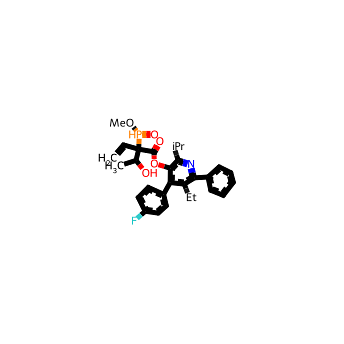 C=CC(C(=O)Oc1c(C(C)C)nc(-c2ccccc2)c(CC)c1-c1ccc(F)cc1)(C(C)O)[PH](=O)OC